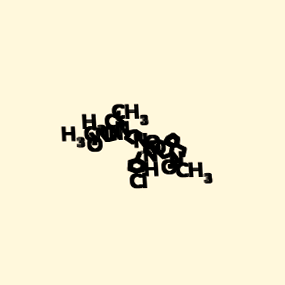 CC(=O)N1CCN(N(CC(C)C)C2CCN(C(=O)[C@@H](Cc3ccc(Cl)cc3)NC(=O)CC3c4ccccc4CCN3C(C)=O)CC2)CC1